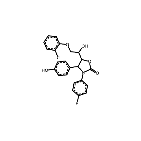 O=C1OC(C(O)COc2ccccc2Cl)C(c2ccc(O)cc2)N1c1ccc(F)cc1